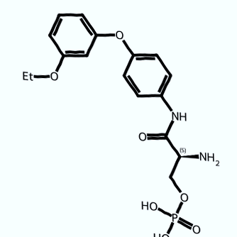 CCOc1cccc(Oc2ccc(NC(=O)[C@@H](N)COP(=O)(O)O)cc2)c1